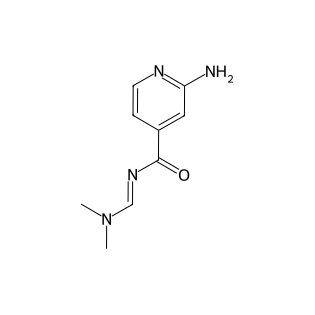 CN(C)C=NC(=O)c1ccnc(N)c1